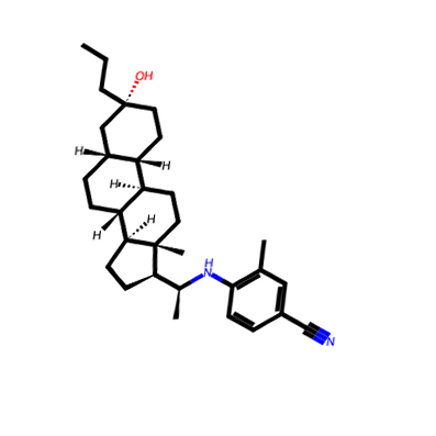 CCC[C@@]1(O)CC[C@H]2[C@H](CC[C@@H]3[C@@H]2CC[C@]2(C)[C@@H]([C@H](C)Nc4ccc(C#N)cc4C)CC[C@@H]32)C1